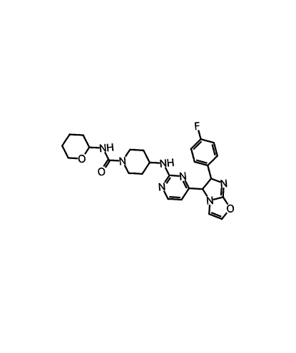 O=C(NC1CCCCO1)N1CCC(Nc2nccc(C3C(c4ccc(F)cc4)N=C4OC=CN43)n2)CC1